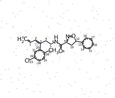 C=C/C=C(/CCNC(=O)C1=NOC(c2ccccc2)C1)c1cc(Cl)ccc1C